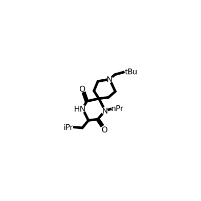 CCCN1C(=O)C(CC(C)C)NC(=O)C12CCN(CC(C)(C)C)CC2